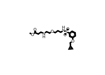 COC(=O)CCNCCOCCCNS(=O)(=O)c1cccc(OCC2CC2)c1